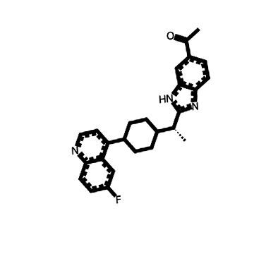 CC(=O)c1ccc2nc([C@H](C)C3CCC(c4ccnc5ccc(F)cc45)CC3)[nH]c2c1